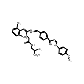 Cc1cccc(C)c1/N=C(/N/N=C/c1ccc(C(=N)/N=C\Nc2ccc(OC(F)(F)F)cc2)cc1)SCC(=O)NCC(N)C(=O)O